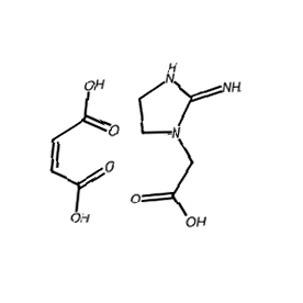 N=C1NCCN1CC(=O)O.O=C(O)/C=C\C(=O)O